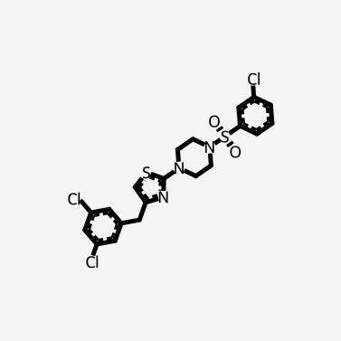 O=S(=O)(c1cccc(Cl)c1)N1CCN(c2nc(Cc3cc(Cl)cc(Cl)c3)cs2)CC1